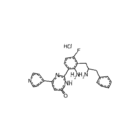 Cl.Nc1c(-c2nc(-c3ccncc3)cc(=O)[nH]2)ccc(F)c1CC(N)Cc1ccccc1